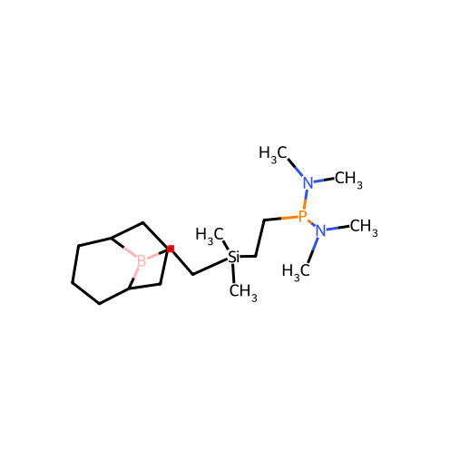 CN(C)P(CC[Si](C)(C)CCB1C2CCCC1CCC2)N(C)C